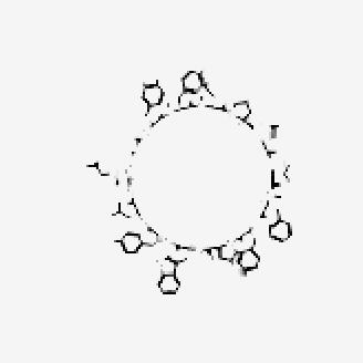 COCC[C@H]1C(=O)N2C[C@@H](O)C[C@@H]2C(=O)N[C@@H](CC(=O)O)C(=O)N[C@@H](C(C)C)C(=O)N(C)[C@@H](Cc2ccccc2)C(=O)N[C@@H](Cc2ccc(O)cc2)C(=O)N2C[C@@H](O)C[C@@H]2C(=O)N[C@@H](Cc2c[nH]c3ccccc23)C(=O)N[C@@H](Cc2ccc(O)cc2)C(=O)N[C@@H](CC(C)C)C(=O)N[C@H](C(=O)NCC(N)=O)CSCC(=O)N[C@@H](Cc2ccc(F)c(F)c2)C(=O)N(C)C(Cc2ccccc2)C(=O)N1C